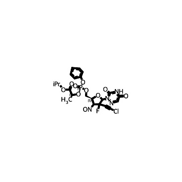 CC(C)OC(=O)[C@H](C)O[P@](=O)(OC[C@H]1OC(n2ncc(=O)[nH]c2=O)C(F)(C#CCl)C1N=O)Oc1ccccc1